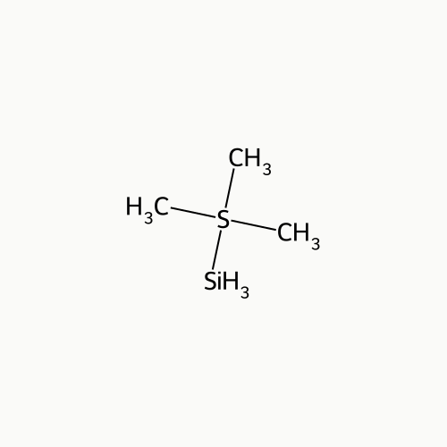 CS(C)(C)[SiH3]